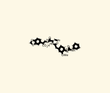 COc1cc(CC(=O)N[C@@H](CC(C)C)C(=O)NC[C@@H](C(=O)O)c2ccc3c(c2)OCO3)ccc1NC(=O)Nc1ccccc1